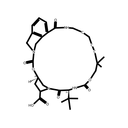 CC1(C)CCCCCNC(=O)c2cccc3c2CN(C3)C(=O)O[C@@H]2CC(C(=O)O)N(C2)C(=O)[C@H](C(C)(C)C)NC(=O)OC1